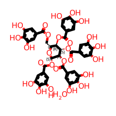 O.O=C(OC[C@H]1O[C@@H](OC(=O)c2cc(O)c(O)c(O)c2)[C@H](OC(=O)c2cc(O)c(O)c(O)c2)[C@@H](OC(=O)c2cc(O)c(O)c(O)c2)[C@@H]1OC(=O)c1cc(O)c(O)c(O)c1)c1cc(O)c(O)c(O)c1